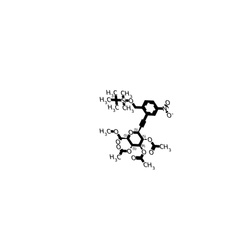 COC(=O)[C@H]1O[C@@H](C#Cc2cc([N+](=O)[O-])ccc2CO[Si](C)(C)C(C)(C)C)[C@H](OC(C)=O)[C@@H](OC(C)=O)[C@@H]1OC(C)=O